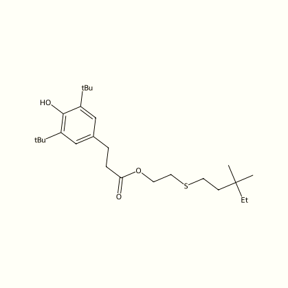 CCC(C)(C)CCSCCOC(=O)CCc1cc(C(C)(C)C)c(O)c(C(C)(C)C)c1